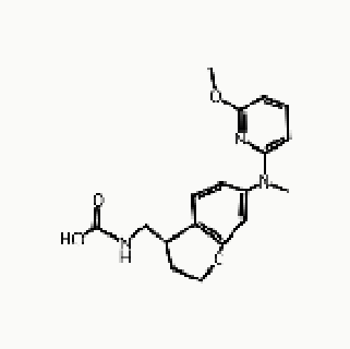 COc1cccc(N(C)c2ccc3c(c2)CCC[C@H]3CNC(=O)O)n1